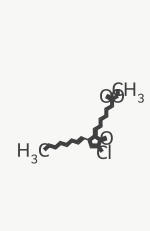 CCCCCC/C=C/[C@@H]1C=C(Cl)C(=O)/C1=C\CCCCCC(=O)OC